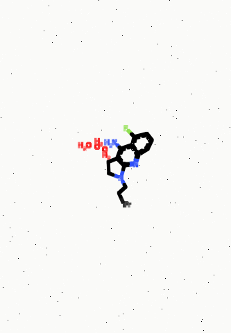 CC(C)CCN1CCc2c1nc1cccc(F)c1c2N.O.O.O